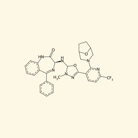 CN1N=C(c2ccc(C(F)(F)F)nc2N2CC3CCC(C2)O3)OC1N[C@H]1N=C(c2ccccc2)c2ccccc2NC1=O